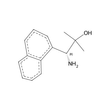 CC(C)(O)[C@H](N)c1cccc2ccccc12